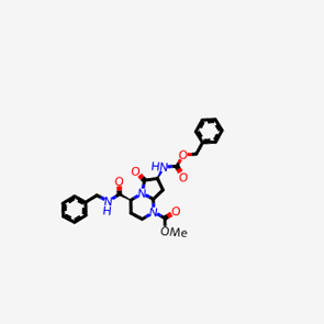 COC(=O)N1CC[C@@H](C(=O)NCc2ccccc2)N2C(=O)[C@@H](NC(=O)OCc3ccccc3)CC12